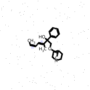 C/C=C\C=C(/C)C(O)(COC1CN2CCC1CC2)c1ccccc1